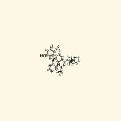 O=c1nc(C2CC3C4CCC(C[C@H]23)N4)c2cnc(-c3cc(O)cc(Cl)c3C3CC3)c(F)c2n1-c1c(C2CC2)ncnc1C1CC1